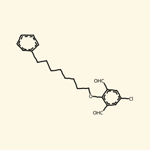 O=Cc1cc(Cl)cc(C=O)c1OCCCCCCCCc1ccccc1